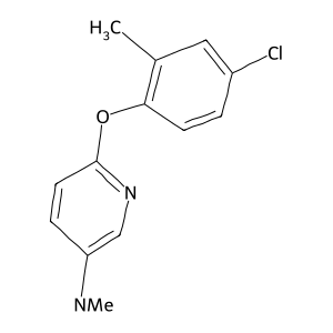 CNc1ccc(Oc2ccc(Cl)cc2C)nc1